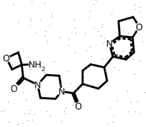 NC1(C(=O)N2CCN(C(=O)C3CCC(c4ccc5c(n4)CCO5)CC3)CC2)COC1